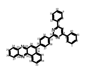 c1ccc(-c2cc(-c3ccccc3)nc(-c3ccc(-c4cc5nc6ccccc6nc5c5ccccc45)cc3)n2)cc1